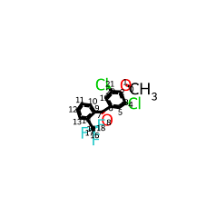 COc1c(Cl)cc(C(=O)c2ccccc2C(F)(F)F)cc1Cl